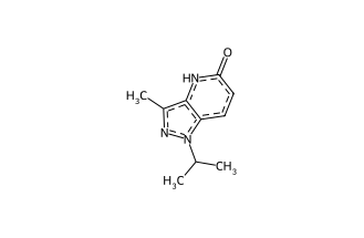 Cc1nn(C(C)C)c2ccc(=O)[nH]c12